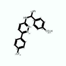 CCCC(Nc1ccc(-c2ccc(C(F)(F)F)cc2)nn1)c1ccc(C(=O)O)cc1